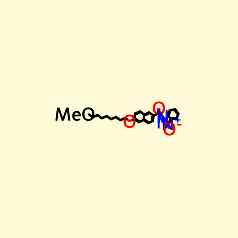 COCCCCCCCCOc1ccc2cc(C(=O)n3n[n+]([O-])c4ccccc43)ccc2c1